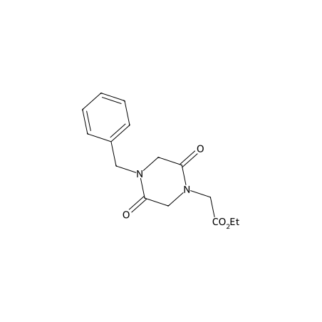 CCOC(=O)CN1CC(=O)N(Cc2ccccc2)CC1=O